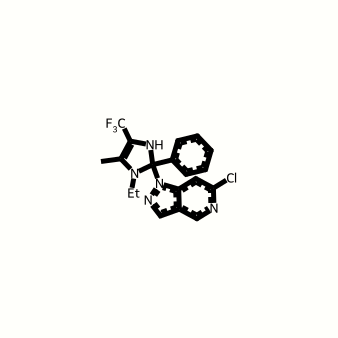 CCN1C(C)=C(C(F)(F)F)NC1(c1ccccc1)n1ncc2cnc(Cl)cc21